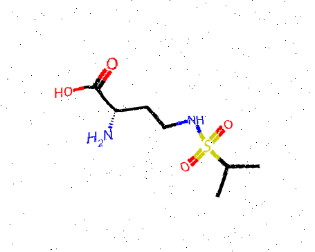 CC(C)S(=O)(=O)NCC[C@H](N)C(=O)O